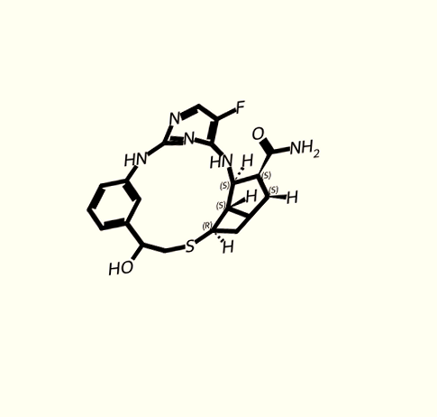 NC(=O)[C@H]1[C@H]2C[C@H]3[C@H]1Nc1nc(ncc1F)Nc1cccc(c1)C(O)CS[C@@H]3C2